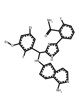 CCOc1cc(CC)cc(C(Nc2ccc3c(N)nccc3c2)c2nc(-c3cccc(F)c3C(N)=O)c[nH]2)c1F